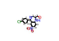 O=CC1CN=C(c2ccc(Cl)cc2)c2cc([N+](=O)[O-])ccc2N1